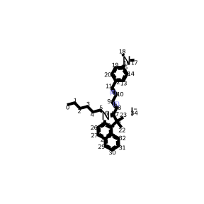 CCCCCC[N+]1=C(/C=C/C=C/c2ccc(N(C)C)cc2)C(C)(C)c2c1ccc1ccccc21.[I-]